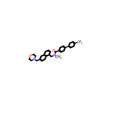 CN(Cc1cccc2cc(CN3CCOCC3)ccc12)C(=O)c1ccc(-c2ccc(C(F)(F)F)cc2)cc1